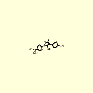 Cc1nn(-c2ccc(S(=N)C(C)C)cn2)c(O)c1-c1ccc(C#N)cc1